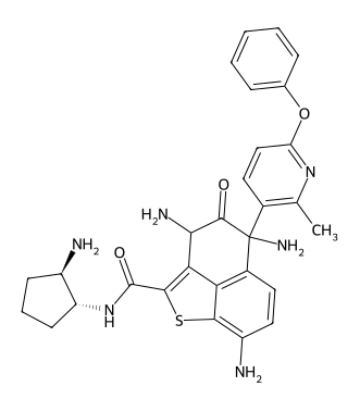 Cc1nc(Oc2ccccc2)ccc1C1(N)C(=O)C(N)c2c(C(=O)N[C@@H]3CCC[C@H]3N)sc3c(N)ccc1c23